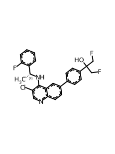 C[C@@H](Nc1c(Cl)cnc2ccc(-c3ccc(C(O)(CF)CF)cc3)cc12)c1ccccc1F